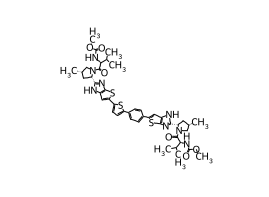 COC(=O)N[C@H](C(=O)N1C[C@@H](C)C[C@H]1c1nc2sc(-c3ccc(-c4ccc(-c5cc6[nH]c([C@@H]7C[C@H](C)CN7C(=O)[C@@H](NC(=O)OC)C(C)C)nc6s5)s4)cc3)cc2[nH]1)C(C)C